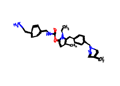 CCn1c(OC(=O)NCc2ccc(CN)cc2)cc(C)c1Cc1ccc(Cn2cc(C)cn2)cc1